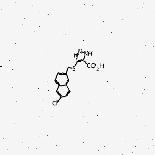 O=C(O)c1[nH]nnc1SCc1ccc2cc(Cl)ccc2c1